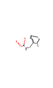 C=C(Cc1ccccc1C)C(=O)O